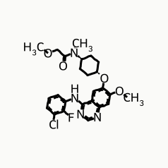 COCC(=O)N(C)[C@H]1CC[C@H](Oc2cc3c(Nc4cccc(Cl)c4F)ncnc3cc2OC)CC1